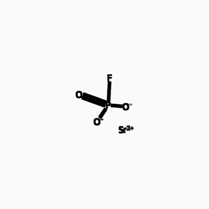 O=P([O-])([O-])F.[Sr+2]